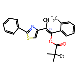 CCC(C)(C)C(=O)O/C(=C(/C#N)c1csc(-c2ccccc2)n1)c1ccccc1C(F)(F)F